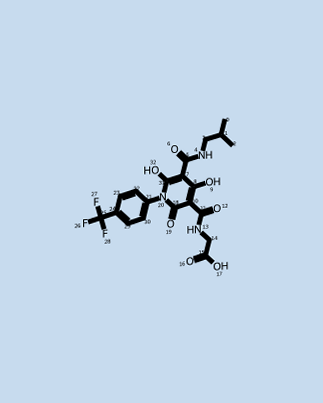 CC(C)CNC(=O)c1c(O)c(C(=O)NCC(=O)O)c(=O)n(-c2ccc(C(F)(F)F)cc2)c1O